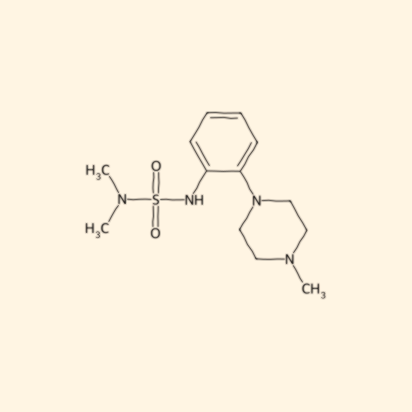 CN1CCN(c2ccccc2NS(=O)(=O)N(C)C)CC1